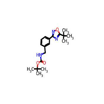 CC(C)(C)OC(=O)NCc1cccc(-c2noc(C(C)(C)C)n2)c1